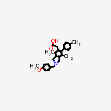 COc1ccc(CN2Cc3c(C)c(CC(=O)O)c(-c4ccc(C)cc4)c(C)c3C2)cc1